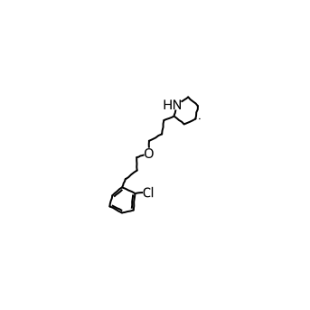 Clc1ccccc1CCCOCCCC1C[CH]CCN1